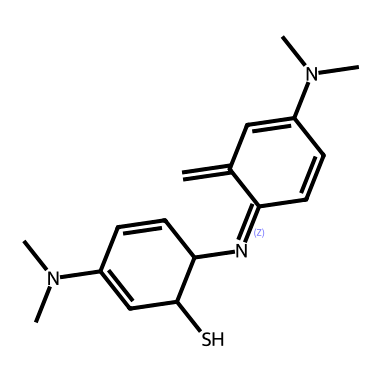 C=C1C=C(N(C)C)C=C/C1=N/C1C=CC(N(C)C)=CC1S